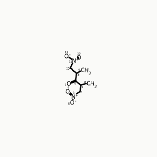 CC(C[N+](=O)[O-])C(=O)C(C)C[N+](=O)[O-]